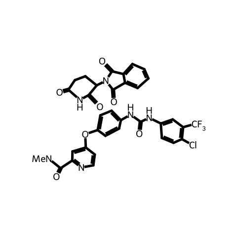 CNC(=O)c1cc(Oc2ccc(NC(=O)Nc3ccc(Cl)c(C(F)(F)F)c3)cc2)ccn1.O=C1CCC(N2C(=O)c3ccccc3C2=O)C(=O)N1